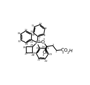 O=C(O)CCC(=O)OP(c1ccccc1)(c1ccccc1)(c1ccccc1)C1CCC1